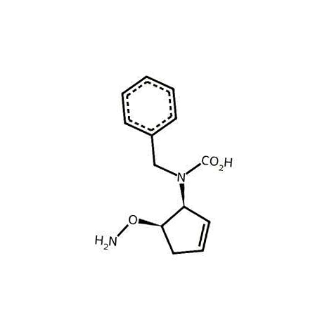 NO[C@@H]1CC=C[C@@H]1N(Cc1ccccc1)C(=O)O